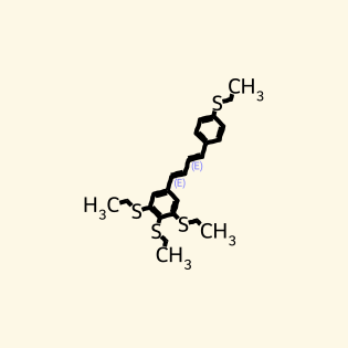 CCSc1ccc(/C=C/C=C/c2cc(SCC)c(SCC)c(SCC)c2)cc1